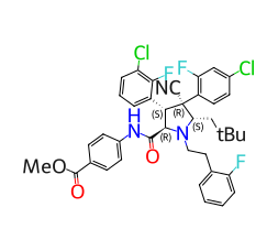 COC(=O)c1ccc(NC(=O)[C@H]2[C@H](c3cccc(Cl)c3F)[C@@](C#N)(c3ccc(Cl)cc3F)[C@H](CC(C)(C)C)N2CCc2ccccc2F)cc1